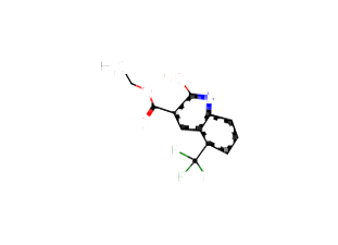 CCOC(=O)c1cc2c(C(F)(F)F)cccc2nc1O